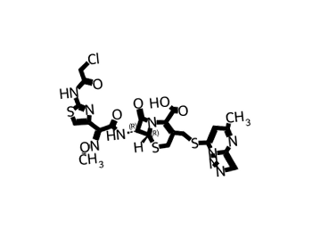 CON=C(C(=O)N[C@@H]1C(=O)N2C(C(=O)O)=C(CSc3cc(C)nc4cnnn34)CS[C@H]12)c1csc(NC(=O)CCl)n1